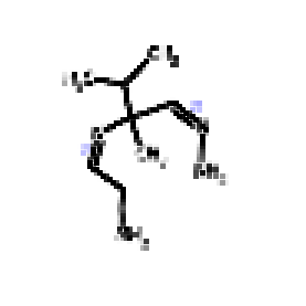 CC(C)C(C)(/C=N\N)/N=C\CN